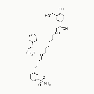 NS(=O)(=O)c1cccc(CCCCOCCCCCCNC[C@H](O)c2ccc(O)c(CO)c2)c1.O=C(O)C=Cc1ccccc1